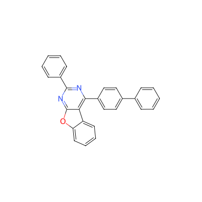 c1ccc(-c2ccc(-c3nc(-c4ccccc4)nc4oc5ccccc5c34)cc2)cc1